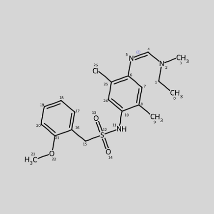 CCN(C)/C=N\c1cc(C)c(NS(=O)(=O)Cc2ccccc2OC)cc1Cl